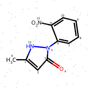 Cc1cc(=O)n(-c2ccccc2[N+](=O)[O-])[nH]1